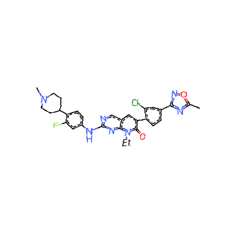 CCn1c(=O)c(-c2ccc(-c3noc(C)n3)cc2Cl)cc2cnc(Nc3ccc(C4CCN(C)CC4)c(F)c3)nc21